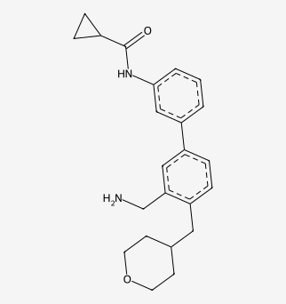 NCc1cc(-c2cccc(NC(=O)C3CC3)c2)ccc1CC1CCOCC1